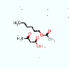 CC(=O)CC(=O)O.CCCCCCOC(C)=O